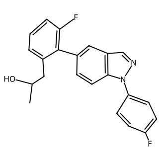 CC(O)Cc1cccc(F)c1-c1ccc2c(cnn2-c2ccc(F)cc2)c1